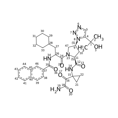 CC(C)(O)c1cnnn1[C@H]1C[C@@H](C(=O)NC2(C(=O)C(N)=O)CC2)N(C(=O)C(CC2CCCCC2)NC(=O)c2ccc3ccccc3c2)C1